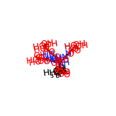 CC(C)[C@]12O[C@H]1[C@@H]1O[C@]13[C@]1(O[C@H]1CC1C4=C(CC[C@@]13C)C(=O)OC4)[C@@H]2OC(=O)CCC(=O)NC(COCCC(=O)NCCCNC(=O)CCCCO[C@@H]1O[C@H](CO)[C@@H](O)[C@H](O)[C@H]1O)(COCCC(=O)NCCCNC(=O)CCCCO[C@@H]1O[C@H](CO)[C@@H](O)[C@H](O)[C@H]1O)COCCC(=O)NCCCNC(=O)CCCCO[C@@H]1O[C@H](CO)[C@@H](O)[C@H](O)[C@H]1O